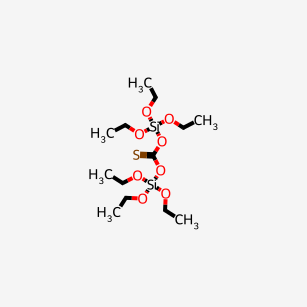 CCO[Si](OCC)(OCC)OC(=S)O[Si](OCC)(OCC)OCC